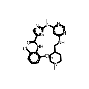 Cc1cccc(Cl)c1NC(=O)c1cnc(Nc2cc(NCC3CCNCC3)ncn2)s1